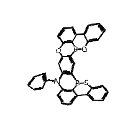 c1ccc(N2c3cc4c(cc3B3Sc5ccccc5-c5cccc2c53)B2Oc3ccccc3-c3cccc(c32)O4)cc1